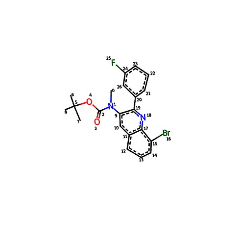 CN(C(=O)OC(C)(C)C)c1cc2cccc(Br)c2nc1-c1cccc(F)c1